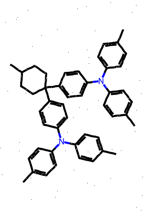 Cc1ccc(N(c2ccc(C)cc2)c2ccc(C3(c4ccc(N(c5ccc(C)cc5)c5ccc(C)cc5)cc4)CCC(C)CC3)cc2)cc1